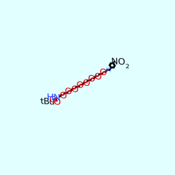 CC(C)(C)OC(=O)NCCOCCOCCOCCOCCOCCOCCOCCOC/C=C/c1ccc([N+](=O)[O-])cc1